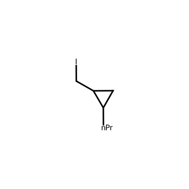 CCCC1CC1CI